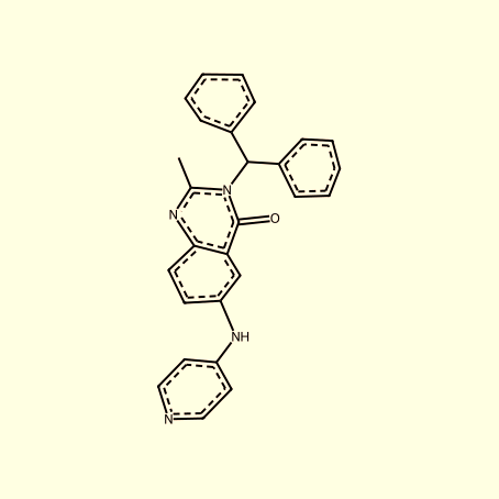 Cc1nc2ccc(Nc3ccncc3)cc2c(=O)n1C(c1ccccc1)c1ccccc1